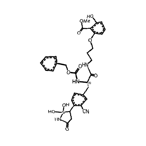 COC(=O)c1c(O)cccc1OCCCNC(=O)[C@H](Cc1ccc(C2CC(=O)NS2(O)O)c(C#N)c1)NC(=O)OCc1ccccc1